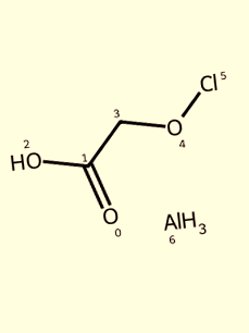 O=C(O)COCl.[AlH3]